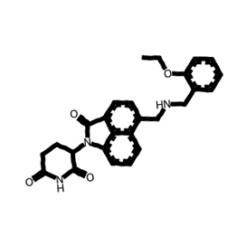 CCOc1ccccc1CNCc1ccc2c3c(cccc13)N(C1CCC(=O)NC1=O)C2=O